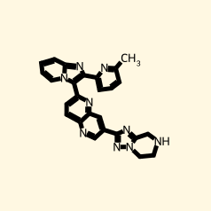 Cc1cccc(-c2nc3ccccn3c2-c2ccc3ncc(-c4nc5n(n4)CCNC5)cc3n2)n1